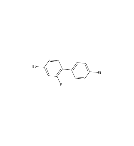 CCc1ccc(-c2ccc(CC)cc2F)cc1